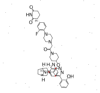 Nc1nnc(-c2ccccc2O)cc1N1C[C@H]2CC[C@@H](C1)N2c1cccc(OC2CCN(C(=O)CN3CCN(c4ccc([C@H]5CCC(=O)NC5=O)cc4F)CC3)CC2)c1